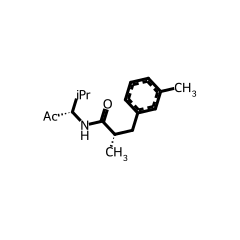 CC(=O)[C@@H](NC(=O)[C@@H](C)Cc1cccc(C)c1)C(C)C